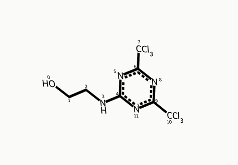 OCCNc1nc(C(Cl)(Cl)Cl)nc(C(Cl)(Cl)Cl)n1